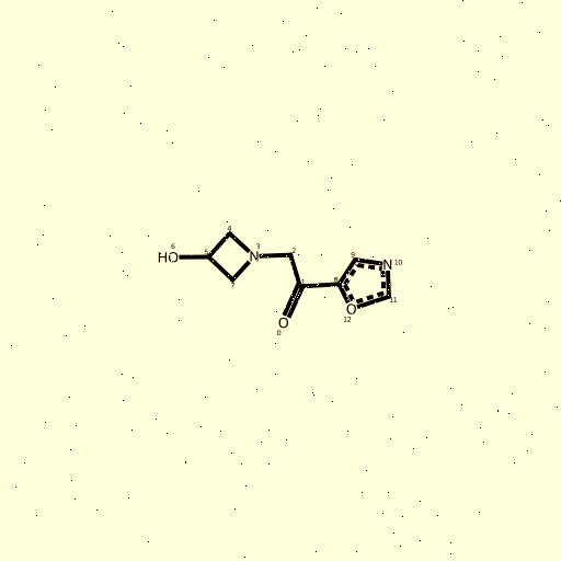 O=C(CN1CC(O)C1)c1cnco1